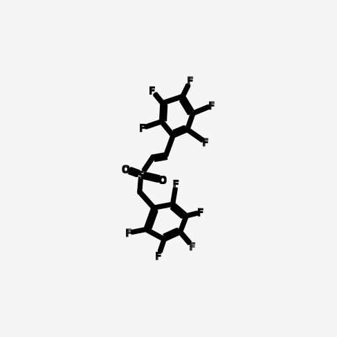 O=S(=O)(/C=C/c1c(F)c(F)c(F)c(F)c1F)Cc1c(F)c(F)c(F)c(F)c1F